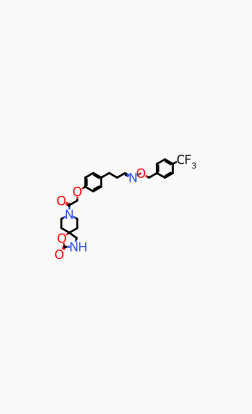 O=C1NCC2(CCN(C(=O)COc3ccc(CCC=NOCc4ccc(C(F)(F)F)cc4)cc3)CC2)O1